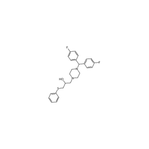 OC(CSc1ccccc1)CN1CCN(C(c2ccc(F)cc2)c2ccc(F)cc2)CC1